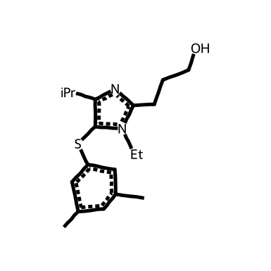 CCn1c(CCCO)nc(C(C)C)c1Sc1cc(C)cc(C)c1